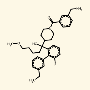 CCc1cccc(-c2c(F)cccc2C(O)(CCCCOC)C2CCN(C(=O)c3cccc(CN)c3)CC2)c1